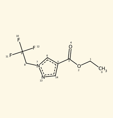 CCOC(=O)c1[c]n(CC(F)(F)F)nc1